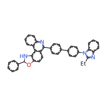 CCc1nc2ccccc2n1-c1ccc(-c2ccc(-c3nc4ccccc4c4c5c(ccc34)OC(c3ccccc3)N5)cc2)cc1